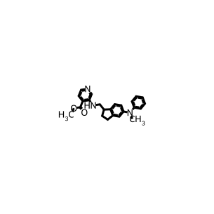 COC(=O)c1ccncc1NCC1CCc2cc(N(C)c3ccccc3)ccc21